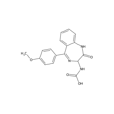 COc1ccc(C2=NC(NC(=O)O)C(=O)Nc3ccccc32)cc1